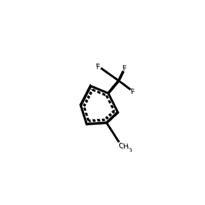 Cc1cc[c]c(C(F)(F)F)c1